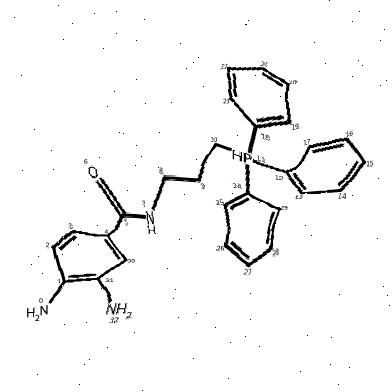 Nc1ccc(C(=O)NCCC[PH](c2ccccc2)(c2ccccc2)c2ccccc2)cc1N